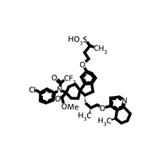 COC(=O)C1(N(C(=O)C(F)(F)F)c2cccc(Cl)c2)CCC2(CC1)c1cc(OCCC(C)S(=O)(=O)O)ccc1C[C@@H]2C[C@@H](C)COc1ccnc2c1[C@H](C)CCC2